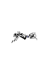 C[C@H]1C[C@](CO)(N=[N+]=[N-])OC1n1ccc(/N=C/N(C)C)nc1=O